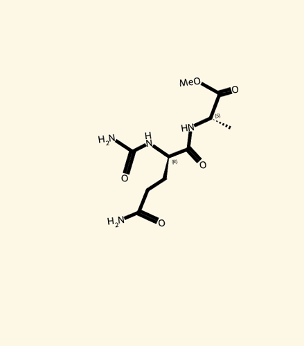 COC(=O)[C@H](C)NC(=O)[C@@H](CCC(N)=O)NC(N)=O